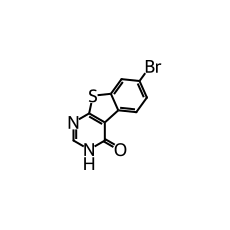 O=c1[nH]cnc2sc3cc(Br)ccc3c12